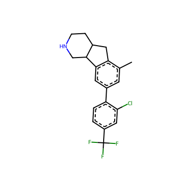 Cc1cc(-c2ccc(C(F)(F)F)cc2Cl)cc2c1CC1CCNCC21